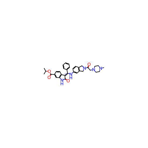 CC(C)OC(=O)c1ccc2c(c1)NC(=O)/C2=C(\Nc1ccc2c(c1)CN(C(=O)CN1CCN(C)CC1)C2)c1ccccc1